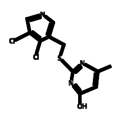 Cc1cc(O)nc(SCc2cncc(Cl)c2Cl)n1